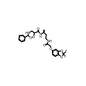 C=C(CCNC(=O)COc1ccc2c(c1)OC(F)(F)O2)NC(=O)C1CNC(c2ccccc2)OO1